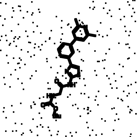 Cc1cc(-c2cccc(-c3csc(NC(=O)CNC(=O)OC(C)(C)C)n3)c2)cc(C)n1